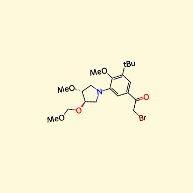 COCO[C@@H]1CN(c2cc(C(=O)CBr)cc(C(C)(C)C)c2OC)C[C@H]1OC